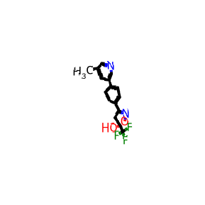 Cc1cncc(-c2ccc(C3=NOC(O)(C(F)(F)F)C3)cc2)c1